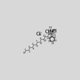 CCCCCCCCCCCCCCC(C)(c1ccccc1)[N+](C)(Cl)Cl.[Cl-]